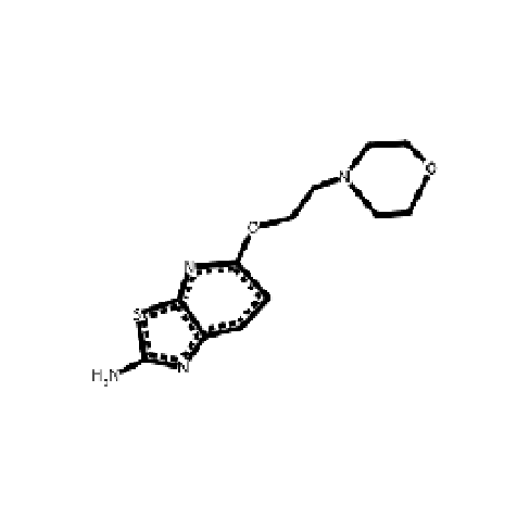 Nc1nc2ccc(OCCN3CCOCC3)nc2s1